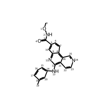 CONC(=O)c1ccc2c(c1)nc(Nc1cccc(C)c1)c1ccncc12